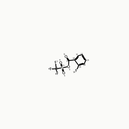 O=C(OS(=O)(=O)C(F)(F)F)c1ccccc1F